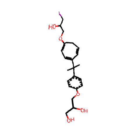 CC(C)(C1=CC=C(OCC(O)CI)CC=C1)c1ccc(OCC(O)CO)cc1